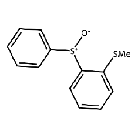 CSc1ccccc1[S+]([O-])c1ccccc1